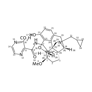 CO[C@]12CC[C@@]3(C[C@@H]1CNC(=O)c1nccnc1C(=O)O)[C@H]1Cc4ccc(O)c5c4[C@@]3(CCN1CC1CC1)[C@H]2O5